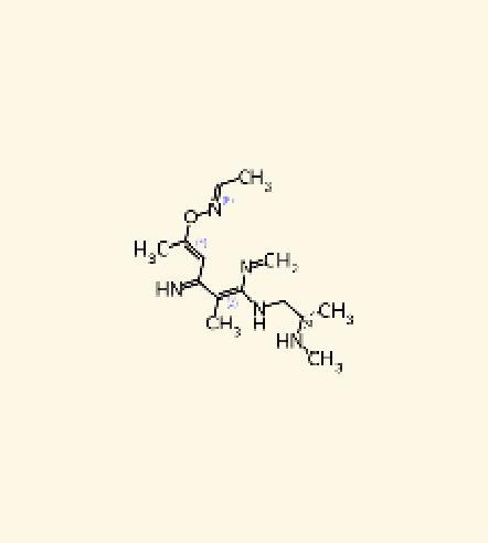 C=N/C(NC[C@H](C)NC)=C(/C)C(=N)/C=C(\C)O/N=C/C